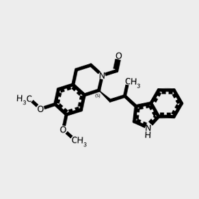 COc1cc2c(cc1OC)[C@H](CC(C)c1c[nH]c3ccccc13)N(C=O)CC2